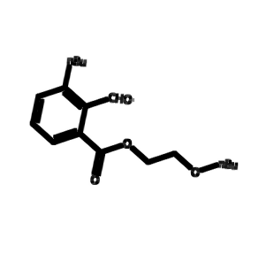 CCCCOCCOC(=O)c1cccc(CCCC)c1[C]=O